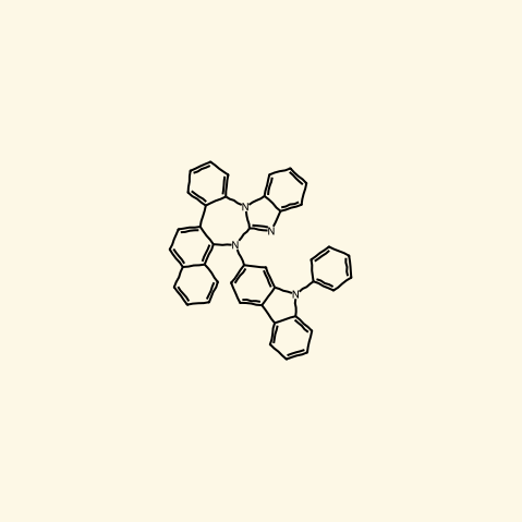 c1ccc(-n2c3ccccc3c3ccc(N4c5c(ccc6ccccc56)-c5ccccc5-n5c4nc4ccccc45)cc32)cc1